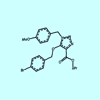 CCCOC(=O)c1nnn(Cc2ccc(OC)cc2)c1OCc1ccc(Br)cc1